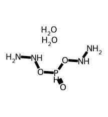 NNO[PH](=O)ONN.O.O